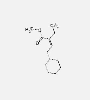 CCC(=CCC1CCCCC1)C(=O)OC